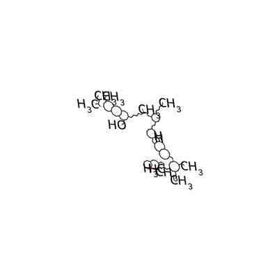 CCCCCC1CCCC(CCC2CCCCC3CC4CCC5CCCCC(C[C@@H]6CCC(CC(C)CCC7CCC8CCCCC[C@H](CC(C)C7)C8)CC(CCC)CCC(CC)C6)CCC(CC[C@H](C4)C[C@H]3CC2)C5)CC(CC[C@H](C)CCCCCC2CCC3CCC4CCC(CC)C[C@@H](CC(C)CCC)CCC(CCC(C3)CC(CO)C2)C4)C1